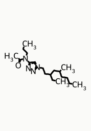 CCCCC(C)CC(CC)CCn1cc(N(CCC)C(C)=O)nn1